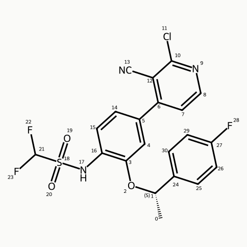 C[C@H](Oc1cc(-c2ccnc(Cl)c2C#N)ccc1NS(=O)(=O)C(F)F)c1ccc(F)cc1